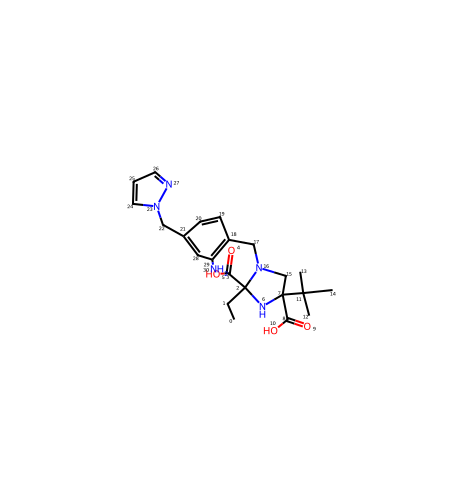 CCC1(C(=O)O)NC(C(=O)O)(C(C)(C)C)CN1Cc1ccc(Cn2cccn2)cc1N